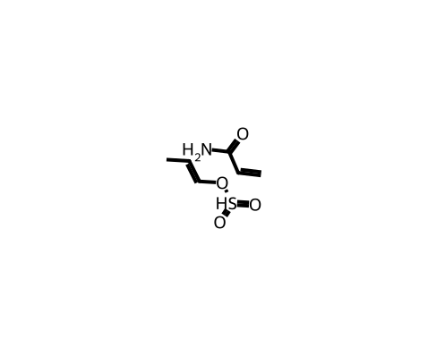 C=CC(N)=O.CC=CO[SH](=O)=O